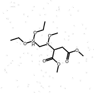 CCO[SiH](CN(OC)C(CC(=O)OC)C(=O)OC)OCC